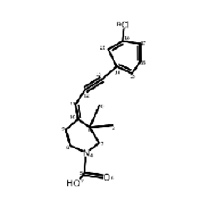 CC1(C)CN(C(=O)O)CCC1=CC#Cc1cccc(Cl)c1